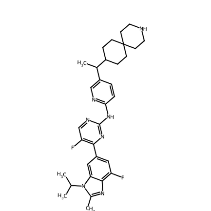 Cc1nc2c(F)cc(-c3nc(Nc4ccc(C(C)C5CCC6(CCNCC6)CC5)cn4)ncc3F)cc2n1C(C)C